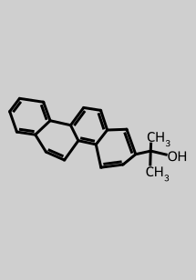 CC(C)(O)c1ccc2c(ccc3c4ccccc4ccc23)c1